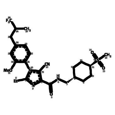 CCc1nc(C(=O)NC[C@H]2CC[C@H](S(C)(=O)=O)CC2)c(C#N)n1-c1ccc(CC(C)C(F)(F)F)cc1OC